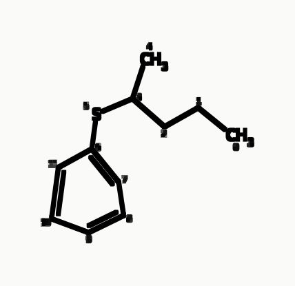 CCCC(C)Sc1ccccc1